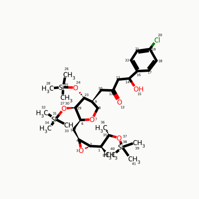 C[C@@H]([C@@H]1O[C@H]1C[C@@H]1OC[C@H](CC(=O)CC(O)c2ccc(Cl)cc2)[C@@H](O[Si](C)(C)C)[C@@H]1O[Si](C)(C)C)[C@H](C)O[Si](C)(C)C